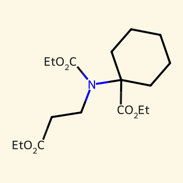 CCOC(=O)CCN(C(=O)OCC)C1(C(=O)OCC)CCCCC1